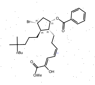 CCCCC(C)(C)CCC[C@@H]1[C@@H](CC/C=C\C=C(O)C(=O)OC)[C@@H](OC(=O)c2ccccc2)C[C@H]1Br